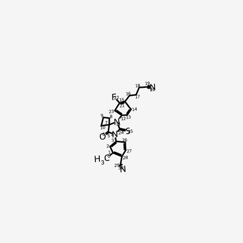 Cc1cc(N2C(=O)C3(CCC3)N(c3ccc(CCCC#N)c(F)c3)C2=S)ccc1C#N